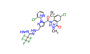 CNC(=O)C1=C(NC(=O)c2cc(CN/N=C(\N=N)C(F)(F)C(F)(F)F)nn2C2NC=CC=C2Cl)C(C)=CC(Cl)C1